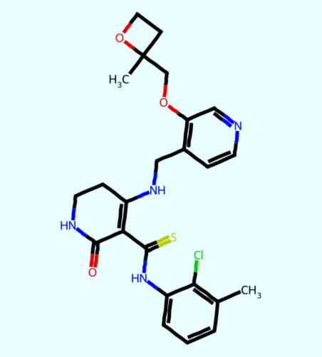 Cc1cccc(NC(=S)C2=C(NCc3ccncc3OCC3(C)CCO3)CCNC2=O)c1Cl